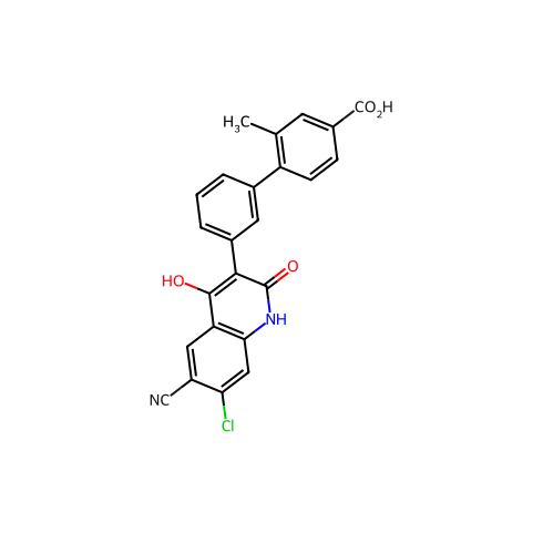 Cc1cc(C(=O)O)ccc1-c1cccc(-c2c(O)c3cc(C#N)c(Cl)cc3[nH]c2=O)c1